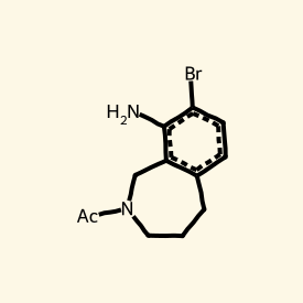 CC(=O)N1CCCc2ccc(Br)c(N)c2C1